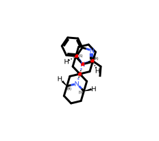 CCc1nc2ccccc2n1[C@H]1C[C@H]2CCC[C@@H](C1)N2[C@H]1C[C@@H]2CCC[C@@H](C2)C1